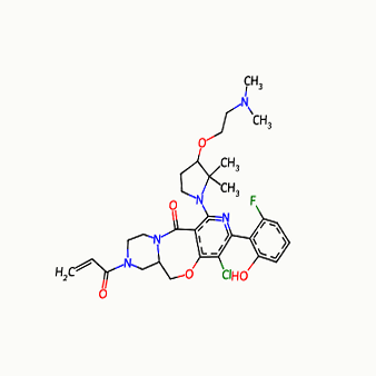 C=CC(=O)N1CCN2C(=O)c3c(N4CCC(OCCN(C)C)C4(C)C)nc(-c4c(O)cccc4F)c(Cl)c3OCC2C1